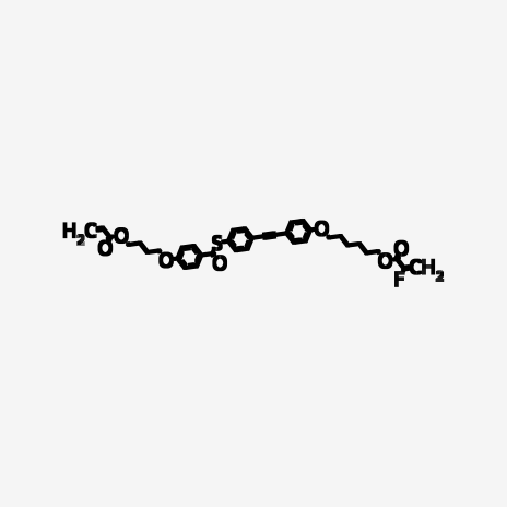 C=CC(=O)OCCCCOc1ccc(C(=O)Sc2ccc(C#Cc3ccc(OCCCCCCOC(=O)C(=C)F)cc3)cc2)cc1